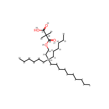 CCCCCCCCCC[Si](CCCCCC)(CCCCCC)CCOC(=O)C(C)(C)C(=O)O